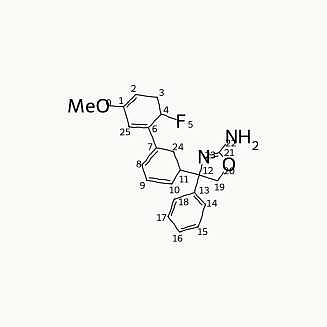 COC1=CCC(F)C(C2=CC=CC(C3(c4ccccc4)COC(N)=N3)C2)=C1